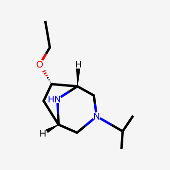 CCO[C@H]1C[C@H]2CN(C(C)C)C[C@@H]1N2